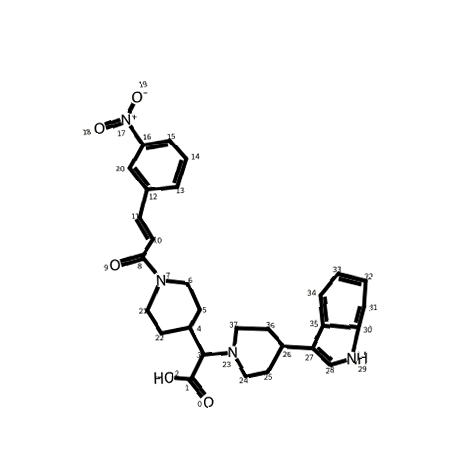 O=C(O)C(C1CCN(C(=O)/C=C/c2cccc([N+](=O)[O-])c2)CC1)N1CCC(c2c[nH]c3ccccc23)CC1